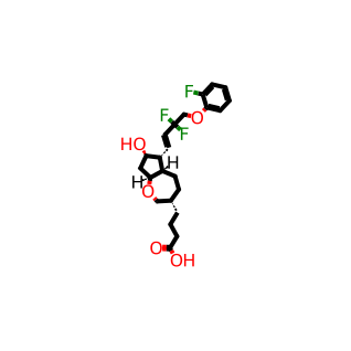 O=C(O)CCC[C@H]1CC[C@@H]2[C@@H](/C=C/C(F)(F)COc3ccccc3F)[C@H](O)C[C@@H]2OC1